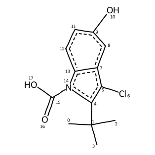 CC(C)(C)c1c(Cl)c2cc(O)ccc2n1C(=O)O